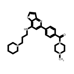 CN1CCN(C(=O)c2ccc(-c3cc(NCCCN4CCCCC4)c4sccc4n3)cc2)CC1